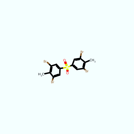 Cc1c(Br)cc(S(=O)(=O)c2cc(Br)c(C)c(Br)c2)cc1Br